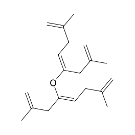 C=C(C)CC=C(CC(=C)C)OC(=CCC(=C)C)CC(=C)C